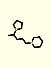 CC(CCCN1CCCCC1)N1CCCC1